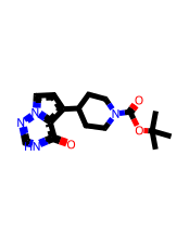 CC(C)(C)OC(=O)N1CCC(c2ccn3nc[nH]c(=O)c23)CC1